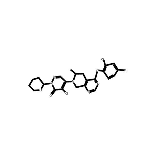 CC1Cc2c(ncnc2Oc2ccc(F)cc2Cl)CN1c1cnn(C2CCCCO2)c(=O)c1Cl